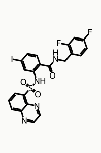 O=C(NCc1ccc(F)cc1F)c1ccc(I)cc1NS(=O)(=O)c1cccc2nccnc12